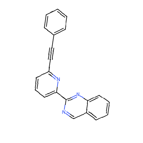 C(#Cc1cccc(-c2ncc3ccccc3n2)n1)c1ccccc1